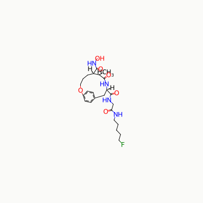 C[C@H]1C(=O)N[C@H](C(=O)NCC(=O)NCCCCCF)Cc2ccc(cc2)OCCC[C@@H]1C(=O)NO